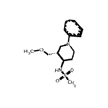 COC[C@@H]1CN(c2ccccc2)CCC1NS(C)(=O)=O